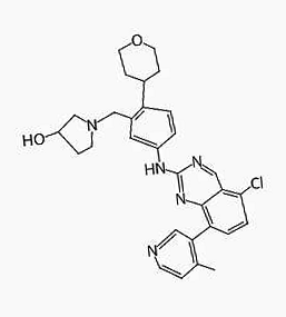 Cc1ccncc1-c1ccc(Cl)c2cnc(Nc3ccc(C4CCOCC4)c(CN4CCC(O)C4)c3)nc12